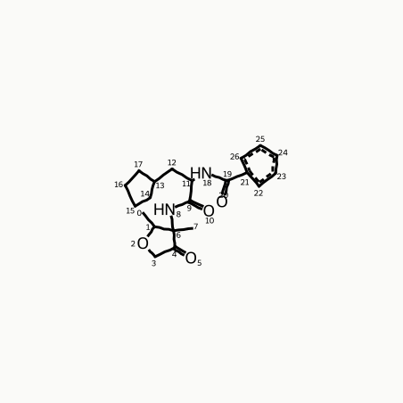 CC1OCC(=O)C1(C)NC(=O)C(CC1CCCC1)NC(=O)c1ccccc1